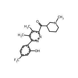 Cc1c(C(=O)C2CCCN(C)C2)nnc(-c2ccc(C(F)(F)F)cc2O)c1C